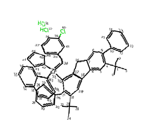 CC(C)(C)c1cc2c(cc1-c1ccccc1)Cc1c-2cc(C(C)(C)C)c(-c2ccccc2)[c]1[Zr](=[CH]c1cccc(Cl)c1)([C]1=CC=CC1)[c]1cccc2ccccc12.Cl.Cl